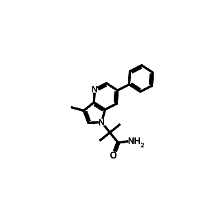 Cc1cn(C(C)(C)C(N)=O)c2cc(-c3ccccc3)cnc12